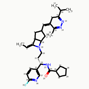 C/C=C1\C2CC(/C=C3/CC(C(C)C)=NN=C3C)CC2N1CC[C@H](NC(=O)C1CCCC1)c1ccc(F)nc1